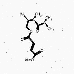 COC(=O)/C=C/C(=O)OC[C@@H](C(C)C)N(C)C(=O)N(C)C